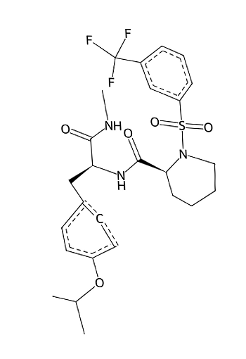 CNC(=O)[C@H](Cc1ccc(OC(C)C)cc1)NC(=O)[C@@H]1CCCCN1S(=O)(=O)c1cccc(C(F)(F)F)c1